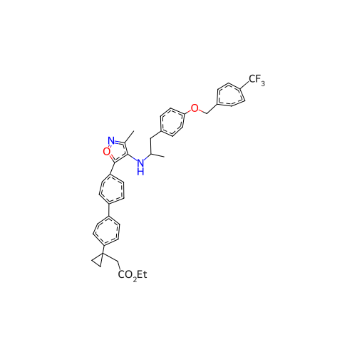 CCOC(=O)CC1(c2ccc(-c3ccc(-c4onc(C)c4NC(C)Cc4ccc(OCc5ccc(C(F)(F)F)cc5)cc4)cc3)cc2)CC1